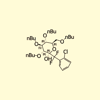 CCCCOC[C@H]1O[C@@](O)(C(F)(F)c2ccccc2Cl)[C@H](OCCCC)[C@@H](OCCCC)[C@@H]1OCCCC